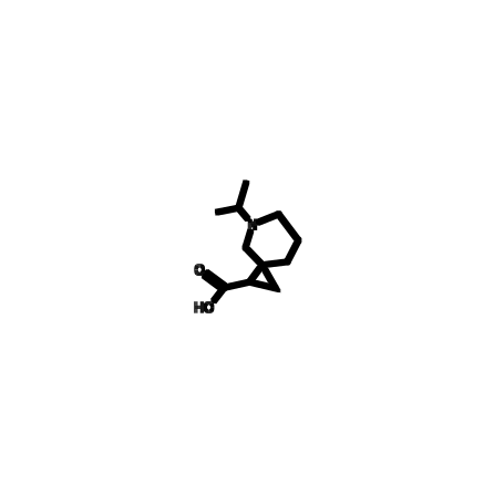 CC(C)N1CCCC2(CC2C(=O)O)C1